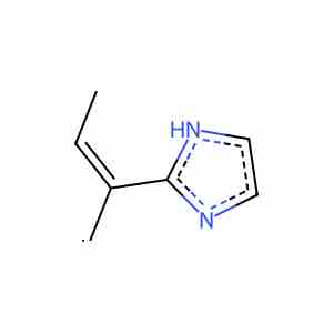 [CH2]/C(=C/C)c1ncc[nH]1